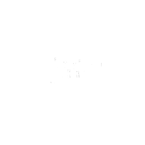 O=C(Nc1ccc(F)cc1F)N(Cl)C(=O)c1c(F)ccc(Cl)c1F